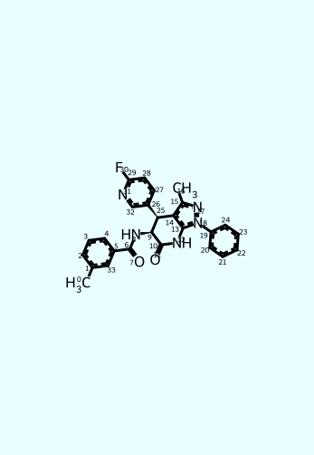 Cc1cccc(C(=O)N[C@@H]2C(=O)Nc3c(c(C)nn3-c3ccccc3)[C@@H]2c2ccc(F)nc2)c1